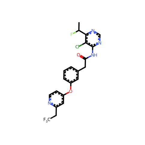 CC(F)c1ncnc(NC(=O)Cc2cccc(Oc3ccnc(CC(F)(F)F)c3)c2)c1Cl